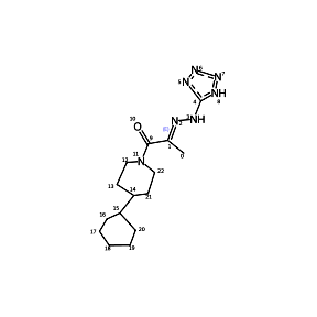 C/C(=N\Nc1nnn[nH]1)C(=O)N1CCC(C2CCCCC2)CC1